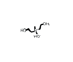 C[N+](C)(CCO)CCO.[OH-]